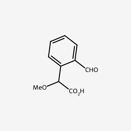 COC(C(=O)O)c1ccccc1C=O